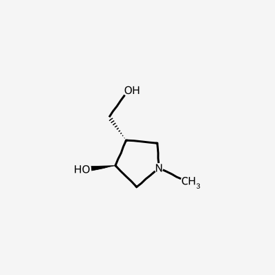 CN1C[C@@H](CO)[C@H](O)C1